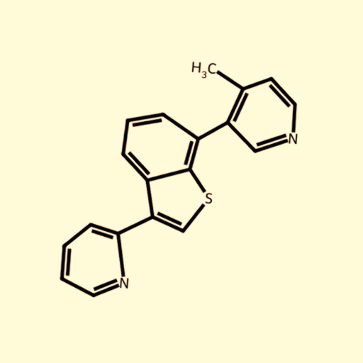 Cc1ccncc1-c1cccc2c(-c3ccccn3)csc12